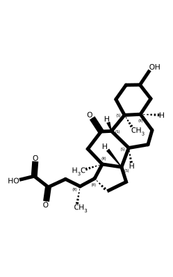 C[C@H](CC(=O)C(=O)O)[C@H]1CC[C@H]2[C@@H]3CC[C@@H]4CC(O)CC[C@]4(C)[C@H]3C(=O)C[C@]12C